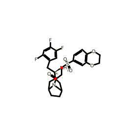 N[C@H](Cc1cc(F)c(F)cc1F)C1CC2CCC(C1)N2C(=O)CCS(=O)(=O)c1ccc2c(c1)OCCO2